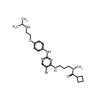 CC(C)NCCOc1ccc(Nc2ncc(Br)c(NCCCN(C)C(=O)C3CCC3)n2)cc1